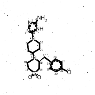 Nc1nnc(N2CCC(N3CCS(=O)(=O)C[C@@H]3Cc3ccc(Cl)cc3)CC2)[nH]1